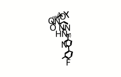 Cc1cc(-c2ccc([C@H](C)Nc3nccc(N4C(=O)OC[C@@H]4[C@@H](C)OC(C)(C)C)n3)cn2)ccc1F